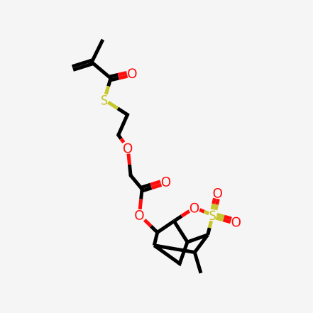 C=C(C)C(=O)SCCOCC(=O)OC1C2CC3C1OS(=O)(=O)C3C2C